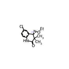 CCO/N=C1/c2cc(Cl)ccc2NC(=O)C1(C)C